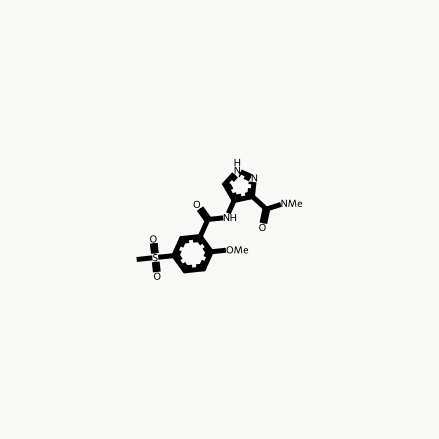 CNC(=O)c1n[nH]cc1NC(=O)c1cc(S(C)(=O)=O)ccc1OC